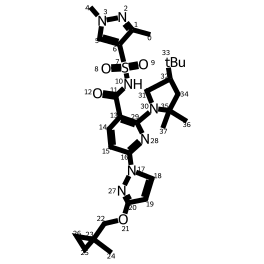 Cc1nn(C)cc1S(=O)(=O)NC(=O)c1ccc(-n2ccc(OCC3(C)CC3)n2)nc1N1CC(C(C)(C)C)CC1(C)C